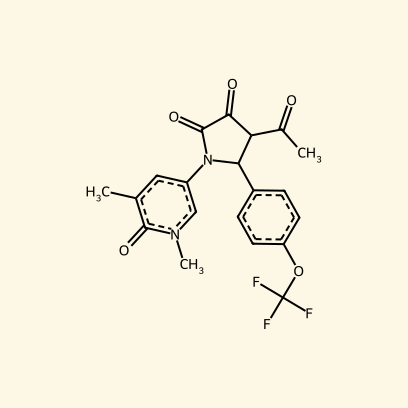 CC(=O)C1C(=O)C(=O)N(c2cc(C)c(=O)n(C)c2)C1c1ccc(OC(F)(F)F)cc1